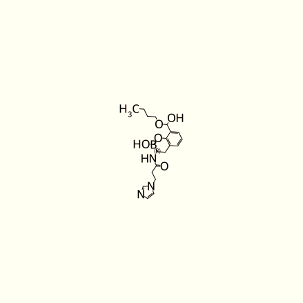 CCCCOC(O)c1cccc2c1OB(O)[C@@H](NC(=O)CCn1ccnc1)C2